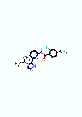 Cc1ccc(C(=O)Nc2cccc(-c3nncn3C(C)C)n2)c(F)c1